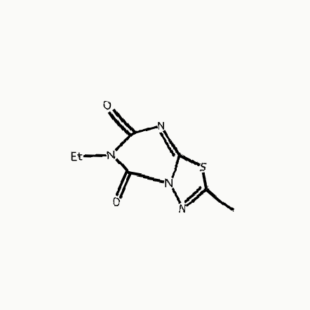 CCn1c(=O)nc2sc(C)nn2c1=O